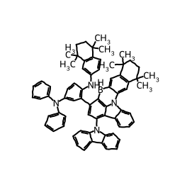 CC1(C)CCC(C)(C)c2cc(Nc3ccc(N(c4ccccc4)c4ccccc4)cc3-c3cc(-n4c5ccccc5c5ccccc54)c4c5ccccc5n5c4c3Bc3cc4c(cc3-5)C(C)(C)CCC4(C)C)ccc21